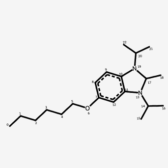 CCCCCCOc1ccc2c(c1)N(C(C)C)C(C)N2C(C)C